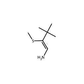 CS/C(=C\N)C(C)(C)C